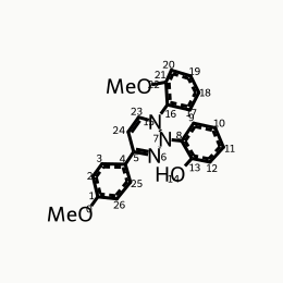 COc1ccc(C2=NN(c3ccccc3O)N(c3ccccc3OC)C=C2)cc1